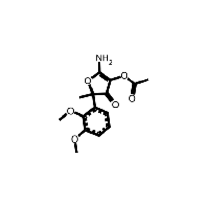 COc1cccc(C2(C)OC(N)=C(OC(C)=O)C2=O)c1OC